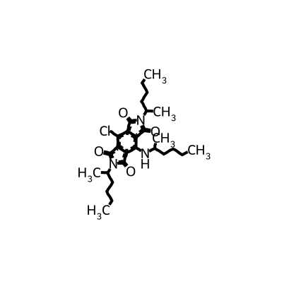 CCCCC(C)Nc1c2c(=O)n(C(C)CCCC)c(=O)c2c(Cl)c2c(=O)n(C(C)CCCC)c(=O)c12